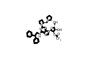 O=C(O[C@@H]1[C@H](O)[C@@H](CO)O[C@H]1n1cnc2c(NCC(c3ccccc3)c3ccccc3)nc(N3CCC[C@H]3CN3CCCC3)nc21)C(F)(F)F